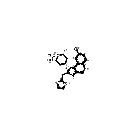 C[C@@H]1C[C@H](n2c(Cc3nccs3)nc3cnc4ccc(Cl)cc4c32)CCO1.O=CO